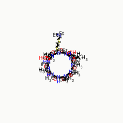 C/C=C/C[C@@H](C)[C@@H](O)[C@H]1C(=O)N[C@@H](CC)C(=O)N(C)[C@H](CSCCCSCCN(CC)CC)C(=O)N(C)[C@@H](CC(C)(C)O)C(=O)N[C@@H](C(C)C)C(=O)N(C)[C@@H](CC(C)C)C(=O)N[C@@H](C)C(=O)N[C@H](C)C(=O)N(C)[C@@H](CC(C)C)C(=O)N(C)[C@@H](CC(C)C)C(=O)N(C)[C@@H](C(C)C)C(=O)N1C